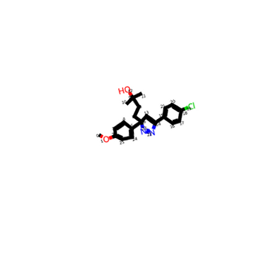 COc1ccc(C2(CCC(C)(C)O)C=C(c3ccc(Cl)cc3)N=N2)cc1